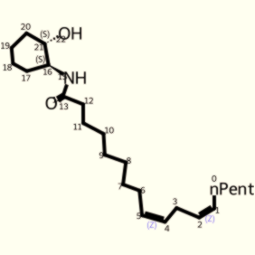 CCCCC/C=C\C/C=C\CCCCCCCC(=O)N[C@H]1CCCC[C@@H]1O